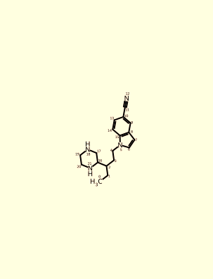 CCC(CCn1ccc2cc(C#N)ccc21)C1CNCCN1